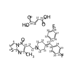 Cc1nc2sccn2c(=O)c1CCN1CCC(=C(c2ccc(F)cc2)c2ccc(F)cc2)CC1.O=C(O)C=CC(=O)O